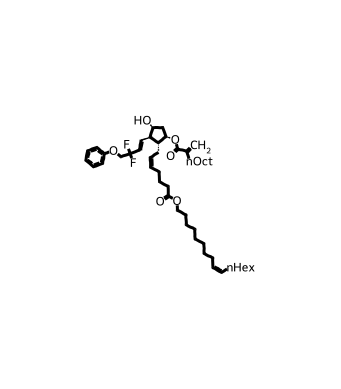 C=C(CCCCCCCC)C(=O)O[C@H]1C[C@@H](O)[C@H](/C=C/C(F)(F)COc2ccccc2)[C@H]1C/C=C\CCCC(=O)OCCCCCCCC/C=C\CCCCCC